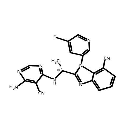 C[C@@H](Nc1ncnc(N)c1C#N)c1nc2cccc(C#N)c2n1-c1cncc(F)c1